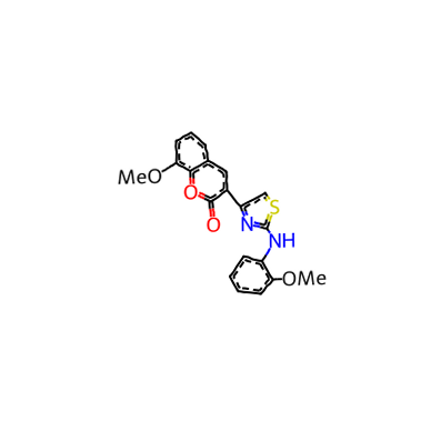 COc1ccccc1Nc1nc(-c2cc3cccc(OC)c3oc2=O)cs1